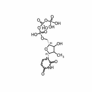 CC1C(O)[C@@H](COP(=O)(O)OP(=O)(O)OP(=O)(O)O)O[C@H]1n1ccc(=O)[nH]c1=O